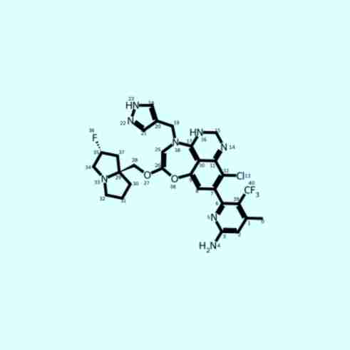 Cc1cc(N)nc(-c2cc3c4c(c2Cl)=NCNC=4N(Cc2cn[nH]c2)C=C(OC[C@@]24CCCN2C[C@H](F)C4)O3)c1C(F)(F)F